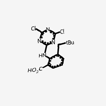 CC(C)(C)Cc1cccc(C(=O)O)c1Nc1nc(Cl)nc(Cl)n1